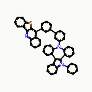 c1ccc(-n2c3c(c4ccccc42)-c2ccccc2N(c2cccc(-c4cccc(-c5c6ccccc6nc6c5sc5ccccc56)c4)c2)c2ccccc2-3)cc1